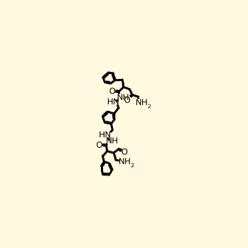 NCC(=O)CC(Cc1ccccc1)C(=O)NNCc1cccc(CNNC(=O)C(Cc2ccccc2)C(C=O)CN)c1